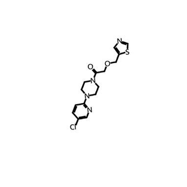 O=C(COCc1cncs1)N1CCN(c2ccc(Cl)cn2)CC1